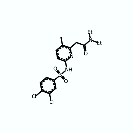 CCN(CC)C(=O)Cc1nc(NS(=O)(=O)c2ccc(Cl)c(Cl)c2)ccc1C